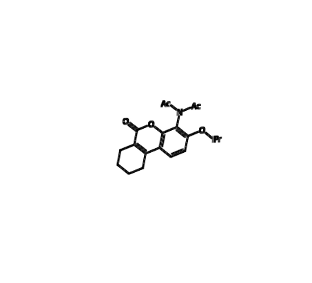 CC(=O)N(C(C)=O)c1c(OC(C)C)ccc2c3c(c(=O)oc12)CCCC3